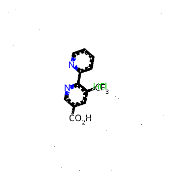 Cl.O=C(O)c1cnc(-c2ccccn2)c(C(F)(F)F)c1